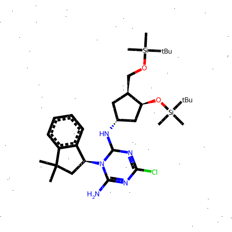 CC1(C)C[C@H](N2C(N)=NC(Cl)=NC2N[C@@H]2C[C@@H](CO[Si](C)(C)C(C)(C)C)[C@@H](O[Si](C)(C)C(C)(C)C)C2)c2ccccc21